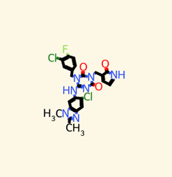 Cc1nc2cc(Cl)c(Nc3nc(=O)n(Cc4ccc[nH]c4=O)c(=O)n3Cc3ccc(F)c(Cl)c3)cc2n1C